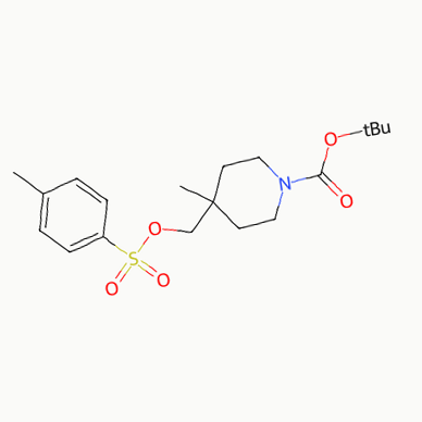 Cc1ccc(S(=O)(=O)OCC2(C)CCN(C(=O)OC(C)(C)C)CC2)cc1